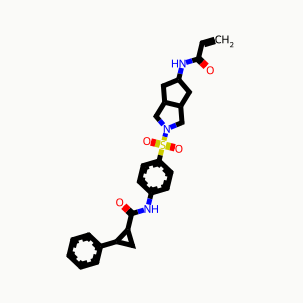 C=CC(=O)NC1CC2CN(S(=O)(=O)c3ccc(NC(=O)C4CC4c4ccccc4)cc3)CC2C1